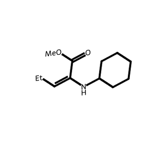 CCC=C(NC1CCCCC1)C(=O)OC